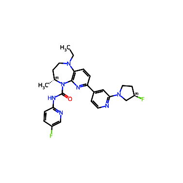 CCN1CC[C@@H](C)N(C(=O)Nc2ccc(F)cn2)c2nc(-c3ccnc(N4CC[C@@H](F)C4)c3)ccc21